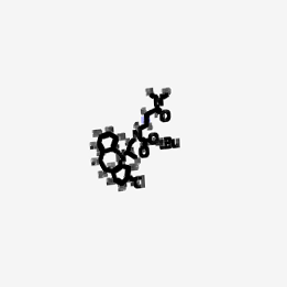 CC(CN(C/C=C/C(=O)N(C)C)C(=O)OC(C)(C)C)N1c2ccccc2CCc2ccc(Cl)cc21